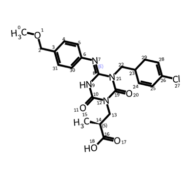 COCc1ccc(/N=c2\[nH]c(=O)n(C[C@H](C)C(=O)O)c(=O)n2CC2C=CC(Cl)=CC2)cc1